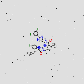 N=C1N[C@](CCCC(F)(F)F)(c2ccc(F)cc2)C(=O)N1Cc1ccc(C(F)(F)F)c(C(=O)N2Cc3cnc(-c4cc(F)cc(F)c4)nc3C2)c1